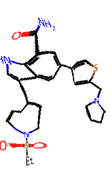 CCS(=O)(=O)N1CCC(c2c[nH]c3c(C(N)=O)cc(-c4csc(CN5CCCC5)c4)cc23)CC1